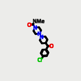 CNC(=O)N1CCN(N2CCC(C(=O)c3ccc(Cl)cc3)CC2)CC1